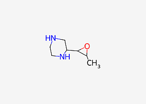 CC1OC1C1CNCCN1